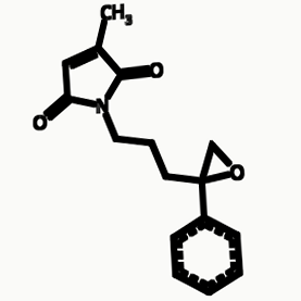 CC1=CC(=O)N(CCCC2(c3ccccc3)CO2)C1=O